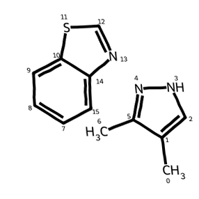 Cc1c[nH]nc1C.c1ccc2scnc2c1